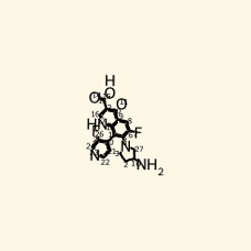 NC1CCN(c2c(F)cc3c(=O)c(C(=O)O)c[nH]c3c2-c2ccncc2F)C1